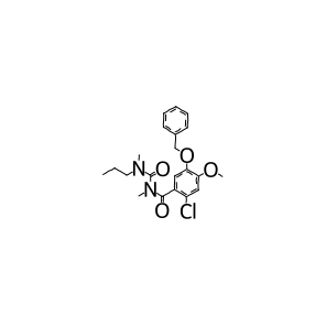 CCCN(C)C(=O)N(C)C(=O)c1cc(OCc2ccccc2)c(OC)cc1Cl